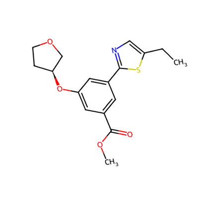 CCc1cnc(-c2cc(O[C@H]3CCOC3)cc(C(=O)OC)c2)s1